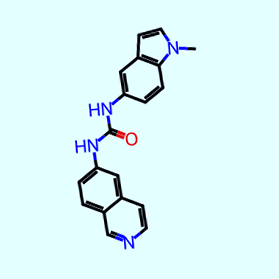 Cn1ccc2cc(NC(=O)Nc3ccc4cnccc4c3)ccc21